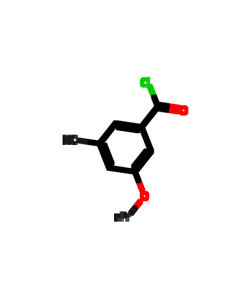 CCCOc1cc(C#N)cc(C(=O)Cl)c1